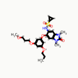 CCCOc1cc(OCCCOC)cc(Oc2cc3c(cc2NS(=O)(=O)C2CC2)n(C)c(=O)n3C)c1